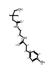 CC(C)(CO)CC(=O)NCCNC(=O)CCc1ccc(C(C)(C)C)cc1